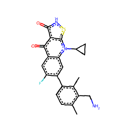 Cc1ccc(-c2cc3c(cc2F)c(=O)c2c(=O)[nH]sc2n3C2CC2)c(C)c1CN